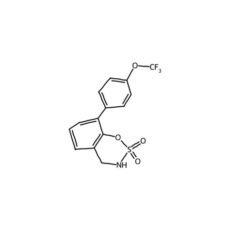 O=S1(=O)NCc2cccc(-c3ccc(OC(F)(F)F)cc3)c2O1